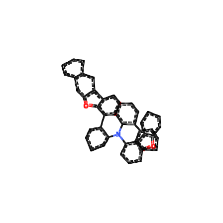 c1ccc(-c2ccccc2N(c2ccccc2-c2cccc3c2oc2cc4ccccc4cc23)c2cccc3oc4ccccc4c23)cc1